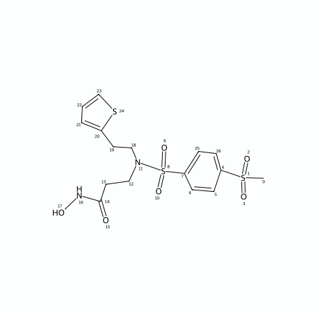 CS(=O)(=O)c1ccc(S(=O)(=O)N(CCC(=O)NO)CCc2cccs2)cc1